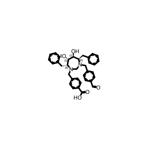 O=Cc1ccc(CN2CN(Cc3ccc(C(=O)O)cc3)[C@H](Cc3ccccc3)[C@H](O)[C@@H](O)[C@H]2Cc2ccccc2)cc1